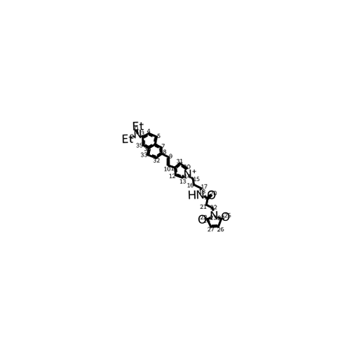 CCN(CC)c1ccc2cc(/C=C/c3cc[n+](CCCNC(=O)CCN4C(=O)C=CC4=O)cc3)ccc2c1